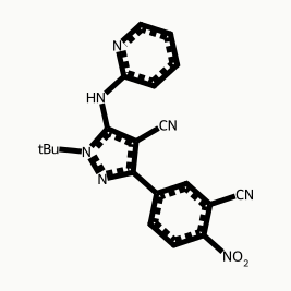 CC(C)(C)n1nc(-c2ccc([N+](=O)[O-])c(C#N)c2)c(C#N)c1Nc1ccccn1